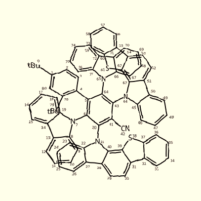 CC(C)(C)c1ccc(-c2c(-n3c4ccccc4c4ccccc43)c(-n3c4ccccc4c4ccc5c6ccccc6sc5c43)c(C#N)c(-n3c4ccccc4c4ccc5c6ccccc6sc5c43)c2-n2c3ccccc3c3ccccc32)c(C(C)(C)C)c1